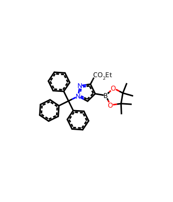 CCOC(=O)c1nn(C(c2ccccc2)(c2ccccc2)c2ccccc2)cc1B1OC(C)(C)C(C)(C)O1